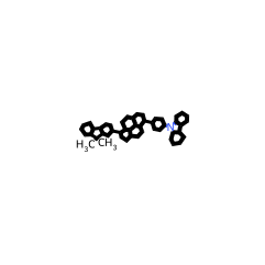 CC1(C)c2ccccc2-c2ccc(-c3ccc4ccc5c(-c6ccc(-n7c8ccccc8c8ccccc87)cc6)ccc6ccc3c4c65)cc21